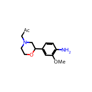 COc1cc(C2CN(CC(C)=O)CCO2)ccc1N